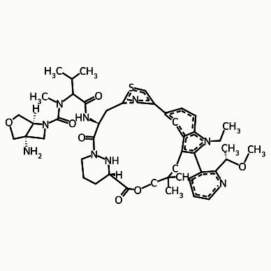 CCn1c(-c2cccnc2[C@H](C)OC)c2c3cc(ccc31)-c1csc(n1)C[C@H](NC(=O)C(C(C)C)N(C)C(=O)N1C[C@@]3(N)COC[C@@H]13)C(=O)N1CCC[C@H](N1)C(=O)OCC(C)(C)C2